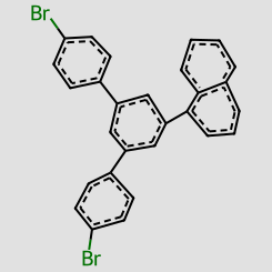 Brc1ccc(-c2cc(-c3ccc(Br)cc3)cc(-c3cccc4ccccc34)c2)cc1